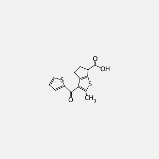 Cc1sc2c(c1C(=O)c1cccs1)CCC2C(=O)O